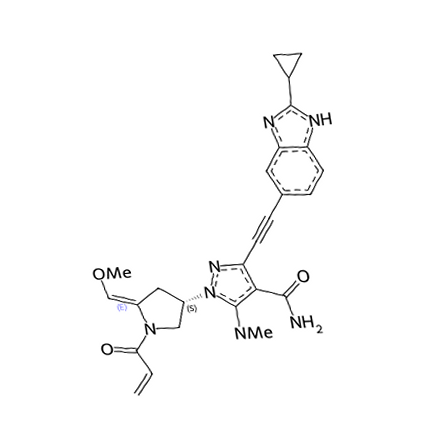 C=CC(=O)N1C[C@@H](n2nc(C#Cc3ccc4[nH]c(C5CC5)nc4c3)c(C(N)=O)c2NC)C/C1=C\OC